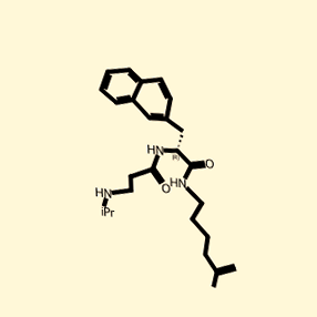 C=C(C)CCCCNC(=O)[C@@H](Cc1ccc2ccccc2c1)NC(=O)CCNC(C)C